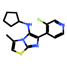 Cc1csc2nc(-c3ccncc3F)c(NC3CCCC3)n12